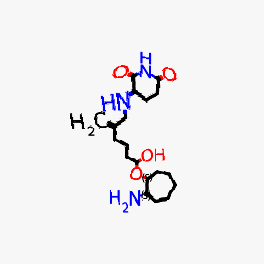 C=C(CCCC(O)O[C@H]1CCCCC[C@@H]1N)CNC1CCC(=O)NC1=O